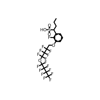 CCCC(c1cccc(OCC(F)(F)C(F)(F)C(F)(F)OC(F)(F)C(F)(F)C(F)(F)C(F)(F)F)c1F)S(=O)(=O)O